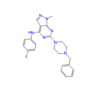 Cn1ncc2c(Nc3ccc(F)cc3)nc(N3CCN(Cc4ccccc4)CC3)nc21